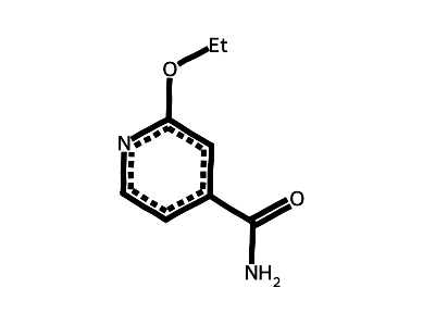 CCOc1cc(C(N)=O)ccn1